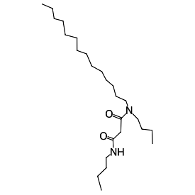 CCCCCCCCCCCCCCN(CCCC)C(=O)CC(=O)NCCCC